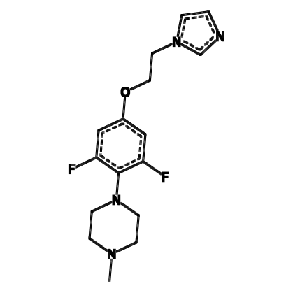 CN1CCN(c2c(F)cc(OCCn3ccnc3)cc2F)CC1